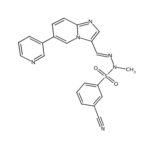 CN(N=Cc1cnc2ccc(-c3cccnc3)cn12)S(=O)(=O)c1cccc(C#N)c1